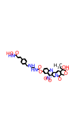 CC[C@@]1(O)C(=O)OCc2c1cc1n(c2=O)Cc2c-1nc1ccc(OC(=O)NCCNCc3ccc(/C=C/C(=O)NO)cc3)cc1c2[N+](=O)[O-]